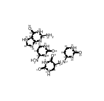 Cc1c[nH]c(=O)[nH]c1=O.Nc1cc[nH]c(=O)n1.Nc1cc[nH]c(=O)n1.Nc1nc2nc[nH]c2c(=O)[nH]1